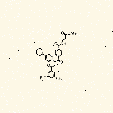 COC(=O)CCNC(=O)c1ccc(C(=O)C(CC(=O)c2cc(C(F)(F)F)cc(C(F)(F)F)c2)c2ccc(C3CCCCC3)cc2)cc1